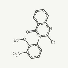 CCOc1c(-n2c(CC)nc3ccccc3c2=O)cccc1[N+](=O)[O-]